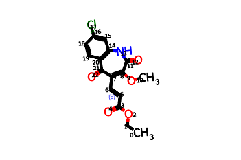 CCOC(=O)/C=C/c1c(OC)c(=O)[nH]c2cc(Cl)ccc2c1=O